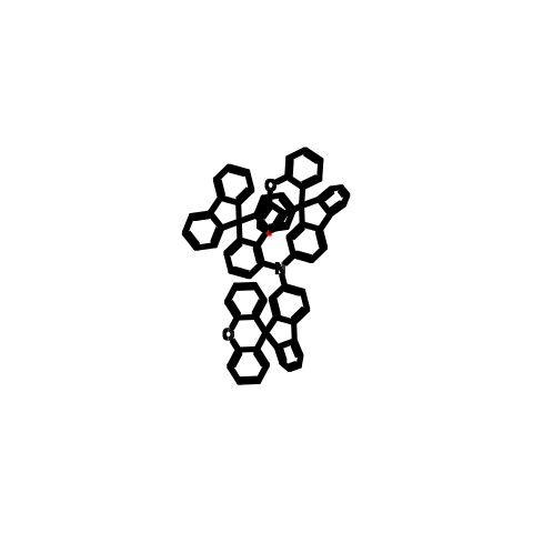 c1ccc2c(c1)Oc1ccccc1C21c2ccccc2-c2ccc(N(c3ccc4c(c3)C3(c5ccccc5Oc5ccccc53)c3ccccc3-4)c3cccc4c3-c3ccccc3C43c4ccccc4-c4ccccc43)cc21